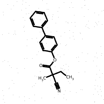 CCC(C)(C#N)C(=O)Oc1ccc(-c2ccccc2)cc1